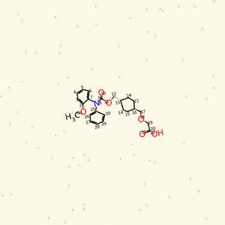 COc1ccccc1N(C(=O)OC[C@H]1CC[C@H](COCC(=O)O)CC1)c1ccccc1